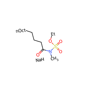 CCCCCCCCCCCC(=O)N(C)S(=O)(=O)OCC.[NaH]